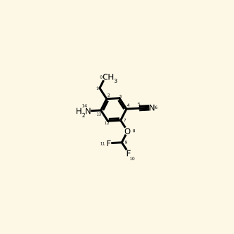 CCc1cc(C#N)c(OC(F)F)cc1N